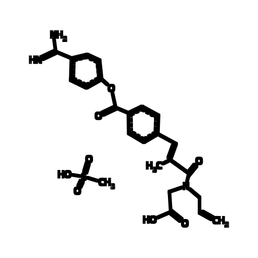 C=CCN(CC(=O)O)C(=O)/C(C)=C/c1ccc(C(=O)Oc2ccc(C(=N)N)cc2)cc1.CS(=O)(=O)O